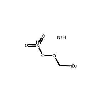 CCCCCOO[SH](=O)=O.[NaH]